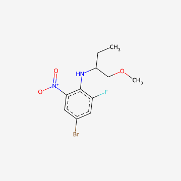 CCC(COC)Nc1c(F)cc(Br)cc1[N+](=O)[O-]